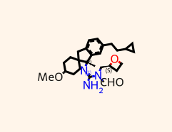 COC1CCC2(CC1)Cc1ccc(CCC3CC3)cc1[C@]2(C)/N=C(/N)N(C=O)C[C@@H]1CCO1